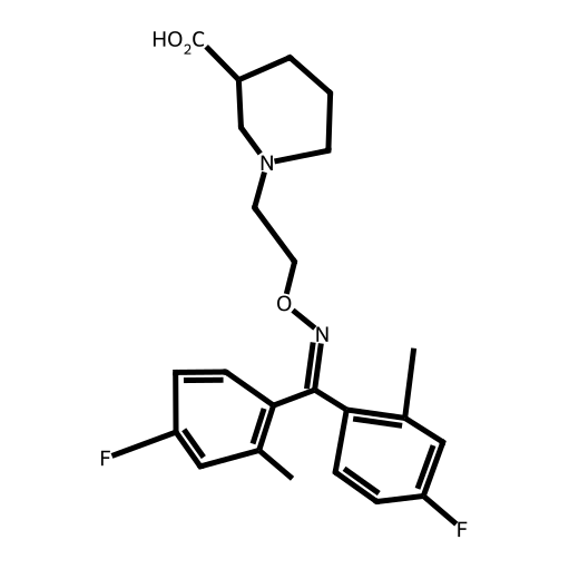 Cc1cc(F)ccc1C(=NOCCN1CCCC(C(=O)O)C1)c1ccc(F)cc1C